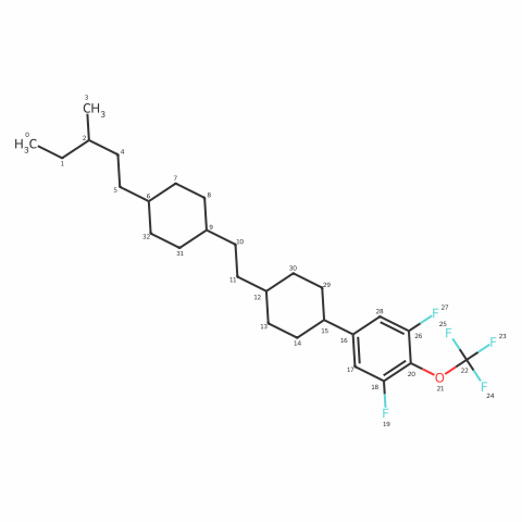 CCC(C)CCC1CCC(CCC2CCC(c3cc(F)c(OC(F)(F)F)c(F)c3)CC2)CC1